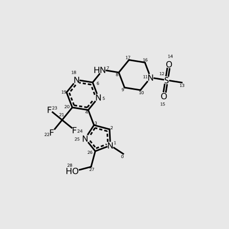 Cn1cc(-c2nc(NC3CCN(S(C)(=O)=O)CC3)ncc2C(F)(F)F)nc1CO